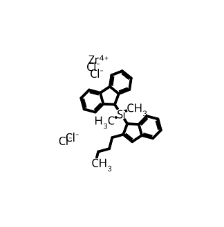 CCCCC1=Cc2ccccc2C1[Si](C)(C)C1c2ccccc2-c2ccccc21.[Cl-].[Cl-].[Cl-].[Cl-].[Zr+4]